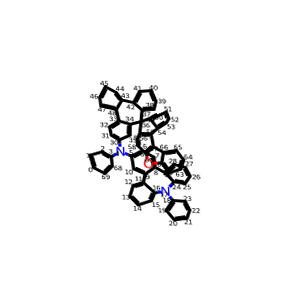 c1ccc(N(c2ccc3c(c2)-c2ccccc2N(c2ccccc2)c2ccccc2-3)c2ccc3c(c2)C2(c4ccccc4-c4ccccc4-3)c3ccccc3-c3c2ccc2oc4ccccc4c32)cc1